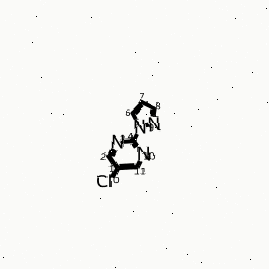 Clc1cnc(-n2c[c]cn2)nc1